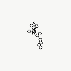 CC1(C)c2ccc(-c3ccc(-c4cc(-c5cccc6sc7ccccc7c56)nc(-c5ccccc5)n4)c4ccccc34)cc2-c2ccc3ccccc3c21